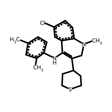 Cc1ccc(NC2=C(C3CCSCC3)CN(C)c3ccc(Cl)cc32)c(C)c1